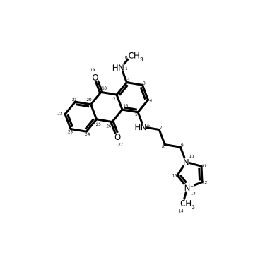 CNc1ccc(NCCCn2cc[n+](C)c2)c2c1C(=O)c1ccccc1C2=O